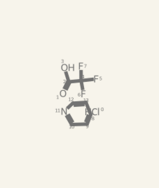 Cl.O=C(O)C(F)(F)F.c1ccncc1